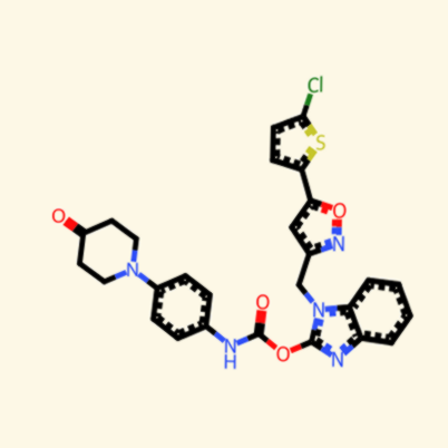 O=C1CCN(c2ccc(NC(=O)Oc3nc4ccccc4n3Cc3cc(-c4ccc(Cl)s4)on3)cc2)CC1